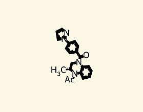 CC(=O)N1c2ccccc2N(C(=O)c2ccc(-n3cccn3)cc2)C[C@@H]1C